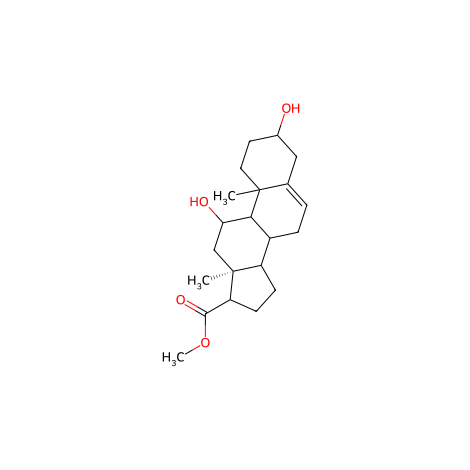 COC(=O)C1CCC2C3CC=C4CC(O)CCC4(C)C3C(O)C[C@]12C